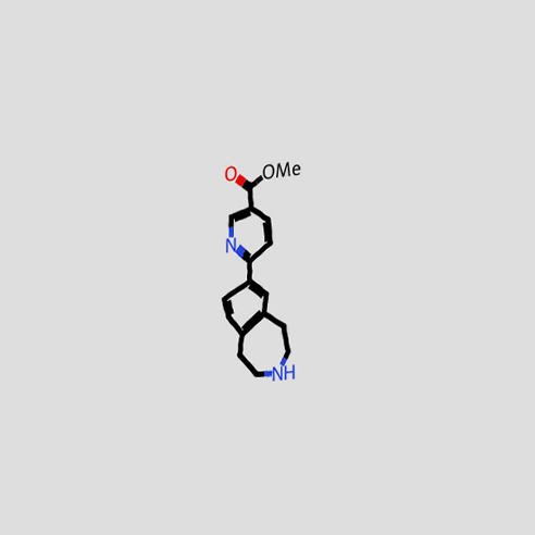 COC(=O)c1ccc(-c2ccc3c(c2)CCNCC3)nc1